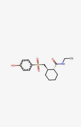 N#CCNC(=O)[C@@H]1CCCC[C@H]1CS(=O)(=O)c1ccc(O)cc1